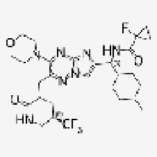 CC1CCC([C@H](NC(=O)C2(F)CC2)c2cn3nc(CC4C[C@@H](C(F)(F)F)CNC4=O)c(N4CCOCC4)nc3n2)CC1